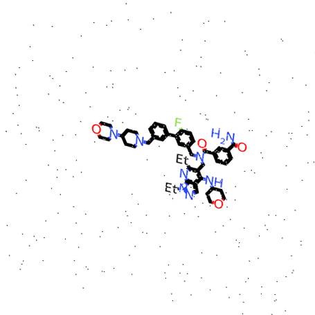 CCc1nc2c(cnn2CC)c(NC2CCOCC2)c1CN(Cc1ccc(F)c(-c2cccc(CN3CCC(N4CCOCC4)CC3)c2)c1)C(=O)c1cccc(C(N)=O)c1